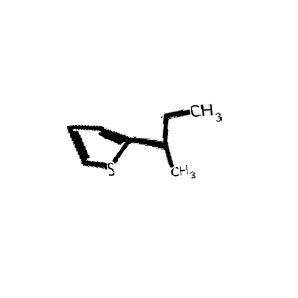 C[CH]C(C)c1cccs1